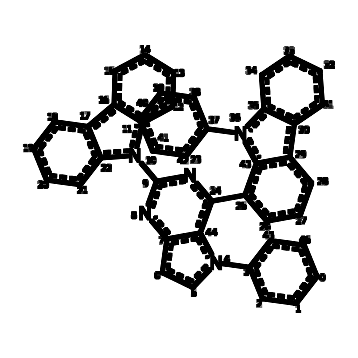 c1ccc(-n2ccc3nc(-n4c5ccccc5c5ccccc54)nc(-c4cccc5c6ccccc6n(-c6ccccc6)c45)c32)cc1